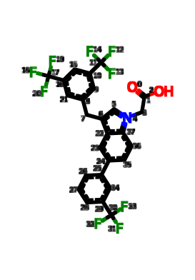 O=C(O)Cn1cc(Cc2cc(C(F)(F)F)cc(C(F)(F)F)c2)c2cc(-c3cccc(C(F)(F)F)c3)ccc21